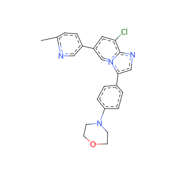 Cc1ccc(-c2cc(Cl)c3ncc(-c4ccc(N5CCOCC5)cc4)n3c2)cn1